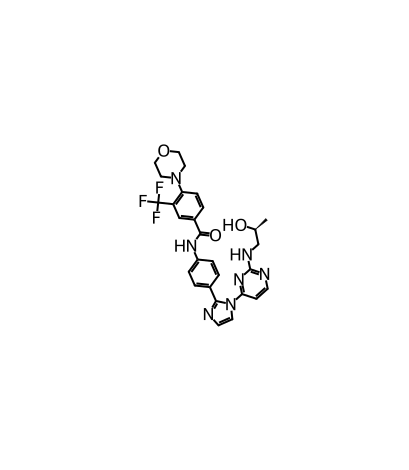 C[C@H](O)CNc1nccc(-n2ccnc2-c2ccc(NC(=O)c3ccc(N4CCOCC4)c(C(F)(F)F)c3)cc2)n1